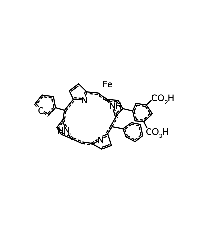 O=C(O)c1cc(C(=O)O)cc(-c2cc3cc4nc(c(-c5ccccc5)c5ccc(cc6nc(c(-c7ccccc7)c2[nH]3)C=C6)[nH]5)C=C4)c1.[Fe]